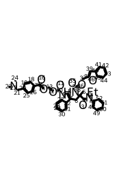 CCN(C(=O)C(C)(Cc1cn(C(=O)OCOC(=O)c2ccc(CN(C)C)cc2)c2ccccc12)NC(=O)OCc1cc2ccccc2o1)c1ccccc1